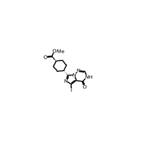 COC(=O)[C@H]1CC[C@H](c2nc(I)c3c(=O)[nH]cnn32)CC1